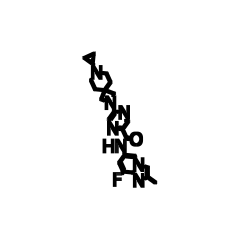 Cc1cn2cc(NC(=O)c3cnc(N4CC5(CCN(C6CC6)CC5)C4)cn3)cc(F)c2n1